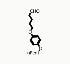 CCCCCOc1ccc(OCCCCC=O)cc1